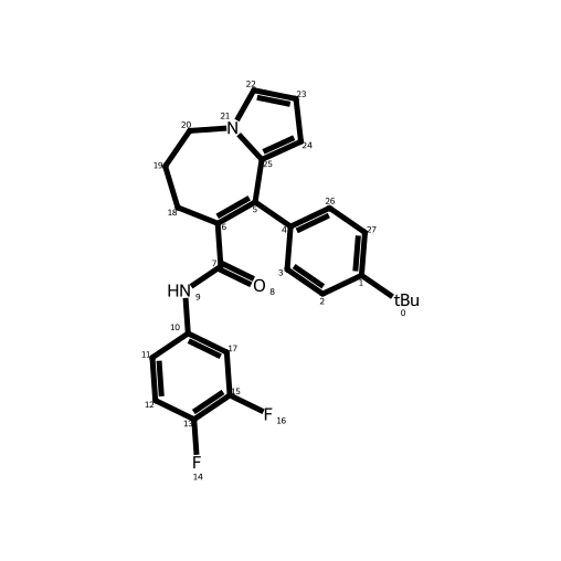 CC(C)(C)c1ccc(C2=C(C(=O)Nc3ccc(F)c(F)c3)CCCn3cccc32)cc1